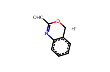 O=CC1=Nc2ccccc2CO1.[H+]